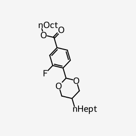 CCCCCCCCOC(=O)c1ccc(C2OCC(CCCCCCC)CO2)c(F)c1